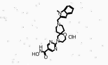 Cl.Cn1c(CN2CCC3(CC2)CN(c2ncc(C(=O)NO)cn2)CCO3)cc2ccccc21